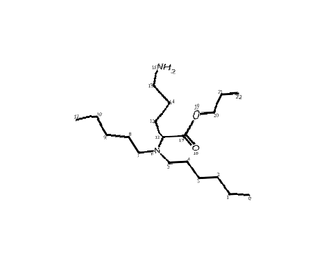 CCCCCCN(CCCCC)C(CCCN)C(=O)OCCC